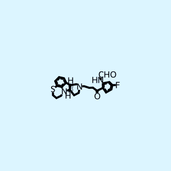 O=CNc1cc(F)ccc1C(=O)CCCN1CC[C@H]2[C@@H](C1)c1cccc3c1N2CCCS3